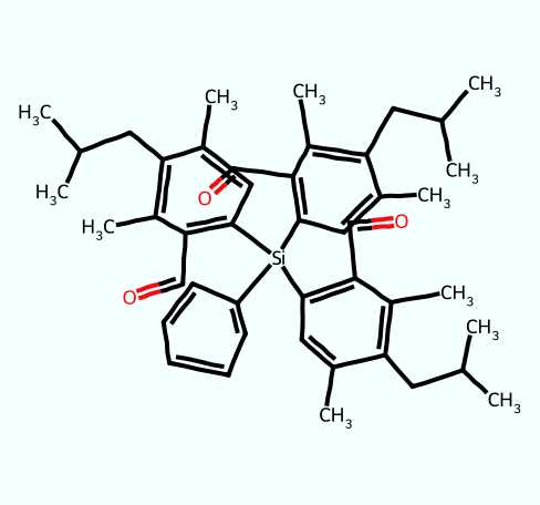 Cc1cc([Si](c2ccccc2)(c2cc(C)c(CC(C)C)c(C)c2C=O)c2cc(C)c(CC(C)C)c(C)c2C=O)c(C=O)c(C)c1CC(C)C